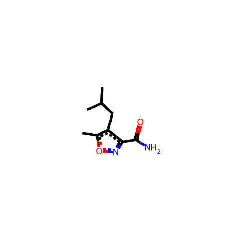 Cc1onc(C(N)=O)c1CC(C)C